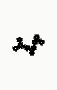 CC(C)(c1ccc(-n2c3ccccc3c3ccc(-c4ccc5c6ccccc6n(-c6ccccc6)c5c4)cc32)cc1)c1nc(-c2ccccc2)nc(-c2ccccc2)n1